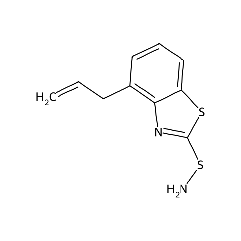 C=CCc1cccc2sc(SN)nc12